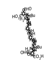 CC(C)(C)c1nn(-c2cc(OC=O)cc(C(=O)O)c2)c(N)c1N=Nc1nnc(-c2cccc(NC(=O)Nc3cccc(-c4nnc(N=Nc5c(C(C)(C)C)nn(-c6cc(OC=O)cc(C(=O)O)c6)c5N)s4)c3)c2)s1